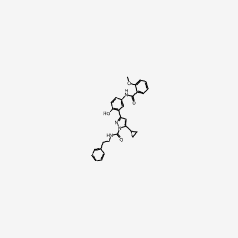 COc1ccccc1C(=O)Nc1ccc(O)c(-c2cc(C3CC3)n(C(=O)NCCc3ccccc3)n2)c1